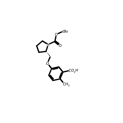 Cc1ccc(OC[C@@H]2CCCN2C(=O)OC(C)(C)C)cc1C(=O)O